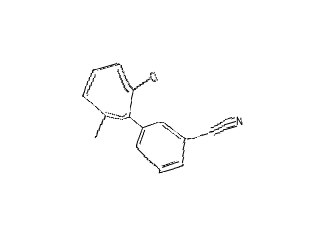 Cc1[c]ccc(Cl)c1-c1cccc(C#N)c1